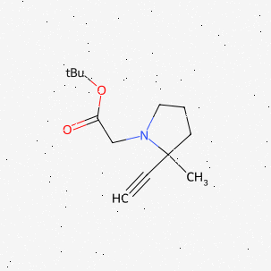 C#CC1(C)CCCN1CC(=O)OC(C)(C)C